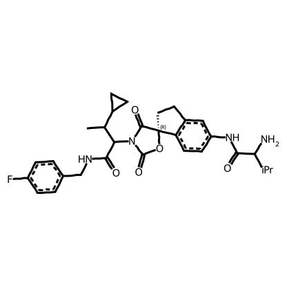 CC(C)C(N)C(=O)Nc1ccc2c(c1)CC[C@@]21OC(=O)N(C(C(=O)NCc2ccc(F)cc2)C(C)C2CC2)C1=O